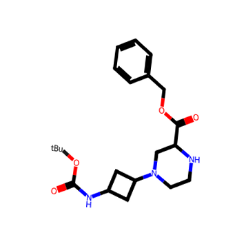 CC(C)(C)OC(=O)NC1CC(N2CCNC(C(=O)OCc3ccccc3)C2)C1